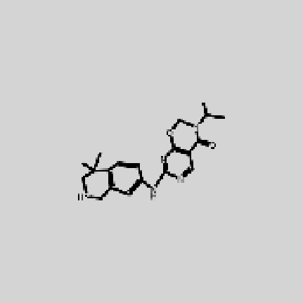 CC(C)N1COc2nc(Nc3ccc4c(c3)CNCC4(C)C)ncc2C1=O